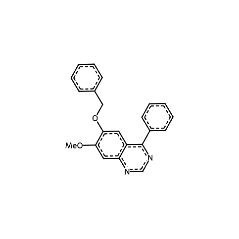 COc1cc2ncnc(-c3ccccc3)c2cc1OCc1ccccc1